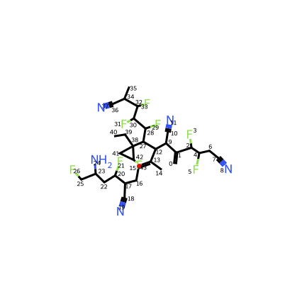 C=C(C(F)C(F)CC#N)C(C#N)C(/C(C)=C/CC(C#N)C(F)CC(N)CF)C(C(F)C(F)C(F)C(C)C#N)C1(CC)CC1F